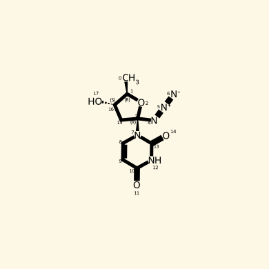 C[C@H]1O[C@@](N=[N+]=[N-])(n2ccc(=O)[nH]c2=O)C[C@@H]1O